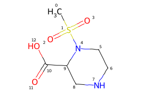 CS(=O)(=O)N1CCNCC1C(=O)O